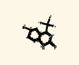 O=c1nc(C(F)(F)F)c2cc(Br)ccc2[nH]1